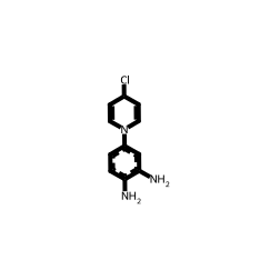 Nc1ccc(N2C=CC(Cl)C=C2)cc1N